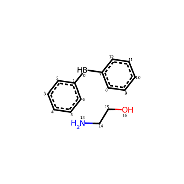 B(c1ccccc1)c1ccccc1.NCCO